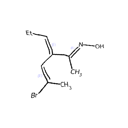 CC/C=C(\C=C(/C)Br)C(/C)=N/O